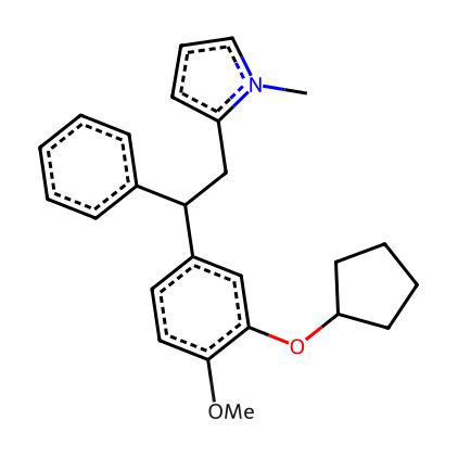 COc1ccc(C(Cc2cccn2C)c2ccccc2)cc1OC1CCCC1